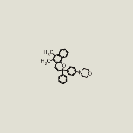 Cc1c2c(c3ccccc3c1C)OC(c1ccccc1)(c1ccc(N3CCOCC3)cc1)C=C2